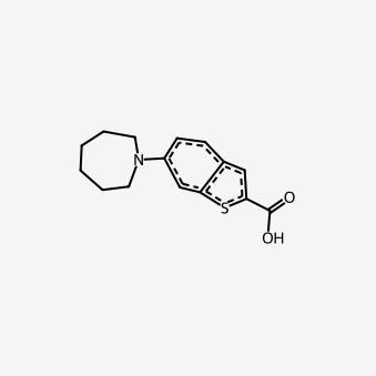 O=C(O)c1cc2ccc(N3CCCCCC3)cc2s1